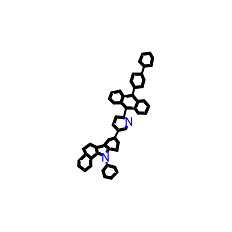 c1ccc(-c2ccc(-c3c4ccccc4c(-c4ccc(-c5ccc6c(c5)c5ccc7ccccc7c5n6-c5ccccc5)cn4)c4ccccc34)cc2)cc1